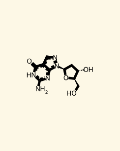 Nc1nc2c(cnn2[C@H]2C[C@H](O)[C@@H](CO)O2)c(=O)[nH]1